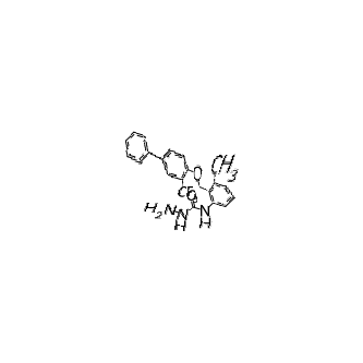 Cc1cccc(NC(=O)NN)c1COc1ccc(-c2ccccc2)cc1C(F)(F)F